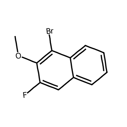 COc1c(F)cc2ccccc2c1Br